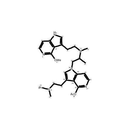 COc1nccc2[nH]cc(CCN(C)C(C)Cn3cc(CCN(C)C(C)C)c4c(OC(C)=O)nccc43)c12